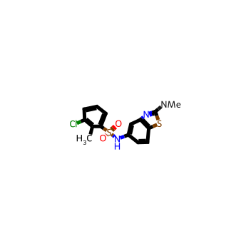 CNc1nc2cc(NS(=O)(=O)c3cccc(Cl)c3C)ccc2s1